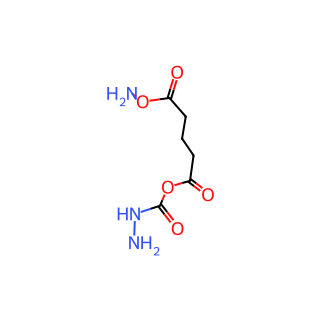 NNC(=O)OC(=O)CCCC(=O)ON